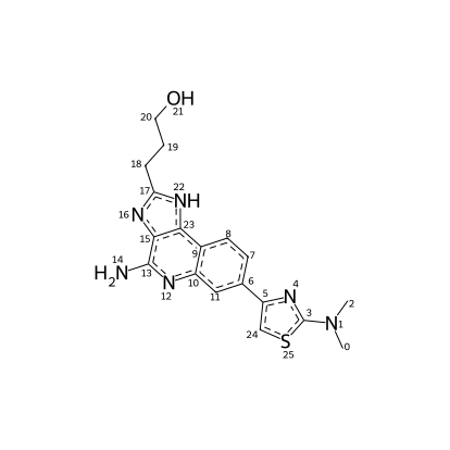 CN(C)c1nc(-c2ccc3c(c2)nc(N)c2nc(CCCO)[nH]c23)cs1